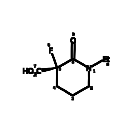 CCN1CCC[C@@](F)(C(=O)O)C1=O